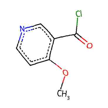 COc1ccncc1C(=O)Cl